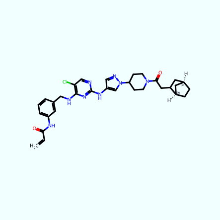 C=CC(=O)Nc1cccc(CNc2nc(Nc3cnn(C4CCN(C(=O)CC5C[C@H]6CC[C@@H]5C6)CC4)c3)ncc2Cl)c1